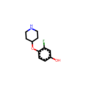 Oc1ccc(OC2CCNCC2)c(F)c1